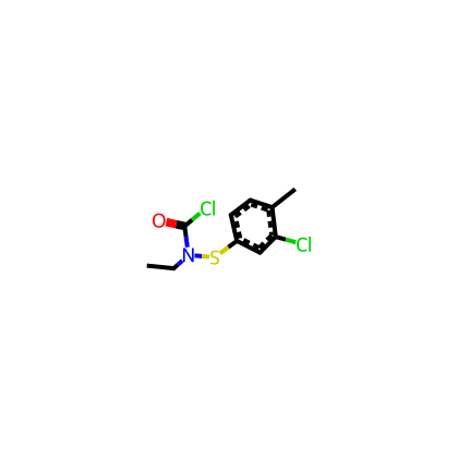 CCN(Sc1ccc(C)c(Cl)c1)C(=O)Cl